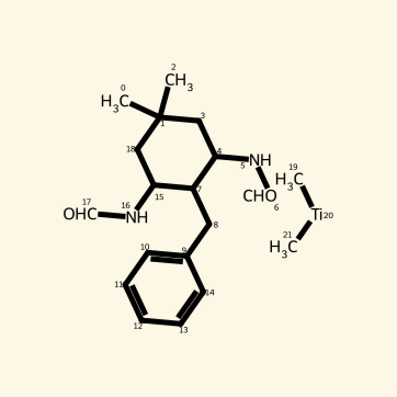 CC1(C)CC(NC=O)C(Cc2ccccc2)C(NC=O)C1.[CH3][Ti][CH3]